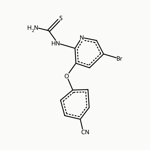 N#Cc1ccc(Oc2cc(Br)cnc2NC(N)=S)cc1